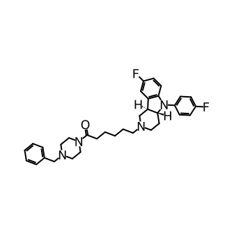 O=C(CCCCCN1CC[C@@H]2[C@@H](C1)c1cc(F)ccc1N2c1ccc(F)cc1)N1CCN(Cc2ccccc2)CC1